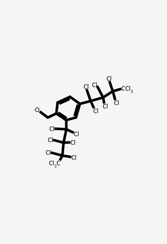 [O]Cc1ccc(C(Cl)(Cl)C(Cl)(Cl)C(Cl)(Cl)C(Cl)(Cl)Cl)cc1C(Cl)(Cl)C(Cl)(Cl)C(Cl)(Cl)C(Cl)(Cl)Cl